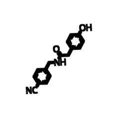 N#Cc1ccc(CNC(=O)Cc2ccc(O)cc2)cc1